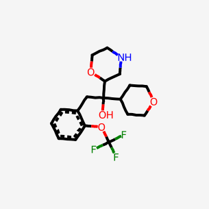 OC(Cc1ccccc1OC(F)(F)F)(C1CCOCC1)C1CNCCO1